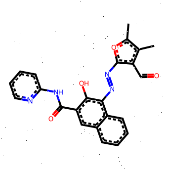 Cc1oc(/N=N/c2c(O)c(C(=O)Nc3ccccn3)cc3ccccc23)c(C=O)c1C